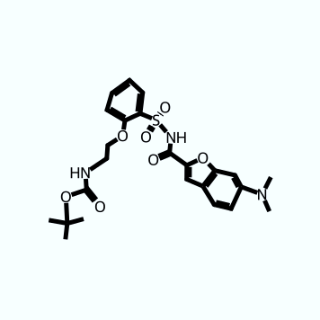 CN(C)c1ccc2cc(C(=O)NS(=O)(=O)c3ccccc3OCCNC(=O)OC(C)(C)C)oc2c1